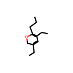 CCCC1=C(CC)C=C(CC)CO1